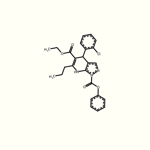 CCCC1=C(C(=O)OCC)C(c2ccccc2Cl)c2cnn(C(=O)Oc3ccccc3)c2N1